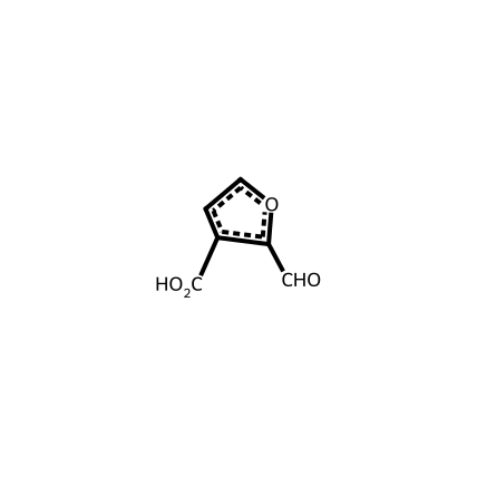 O=Cc1occc1C(=O)O